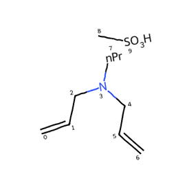 C=CCN(CC=C)CCC.CS(=O)(=O)O